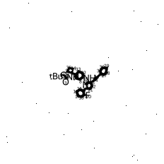 CC(C)(C)OC(=O)NC1(c2ccc(Nc3nc(-c4ccccc4F)ccc3C#Cc3ccccc3)cc2)CCC1